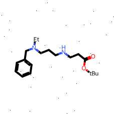 CCN(CCCNCCC(=O)OC(C)(C)C)Cc1ccccc1